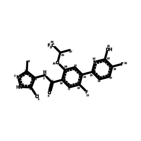 Cc1n[nH]c(Cl)c1NC(=O)c1cc(F)c(-c2ccc(F)c(O)n2)cc1OC(C)C(F)(F)F